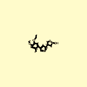 CCOc1cc(-c2cncc(C3COB(O)C3)c2)c(C)cc1OC